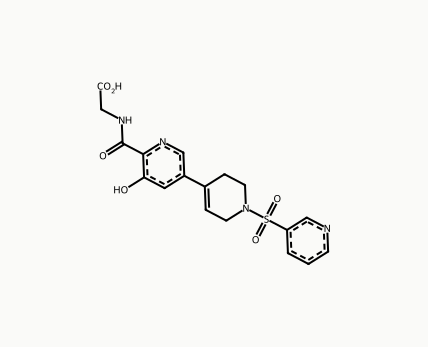 O=C(O)CNC(=O)c1ncc(C2=CCN(S(=O)(=O)c3cccnc3)CC2)cc1O